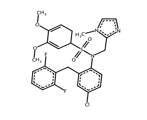 COC1=CCC(S(=O)(=O)N(Cc2nccn2C)c2ccc(Cl)cc2Cc2c(F)cccc2F)C=C1OC